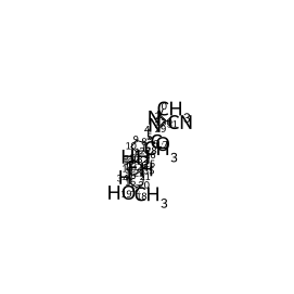 Cc1nn(CC(=C=O)[C@H]2CC[C@H]3[C@@H]4CC[C@@H]5C[C@](C)(O)CC[C@]5(F)[C@H]4CC[C@]23C)cc1C#N